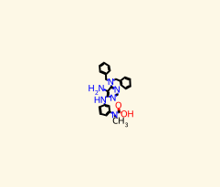 CN(C(=O)O)c1cccc(Nc2ncnc(N(Cc3ccccc3)Cc3ccccc3)c2N)c1